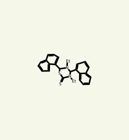 CCN1C(=S)SC(c2cccc3ccccc23)N(CC)C1c1cccc2ccccc12